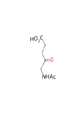 CC(=O)NCC(=O)CCC(=O)O